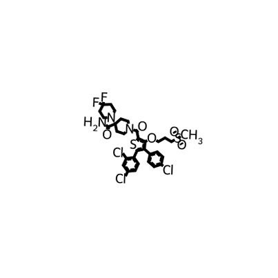 CS(=O)(=O)CCCOc1c(C(=O)N2CCC(C(N)=O)(N3CCC(F)(F)CC3)CC2)sc(-c2ccc(Cl)cc2Cl)c1-c1ccc(Cl)cc1